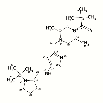 CC1CN(C(=O)C(C)(C)C)C(C)CN1Cc1nsc(NCC2CCCN2C(C)(C)C)n1